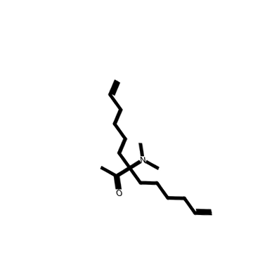 C=CCCCCC(CCCCC=C)(C(C)=O)N(C)C